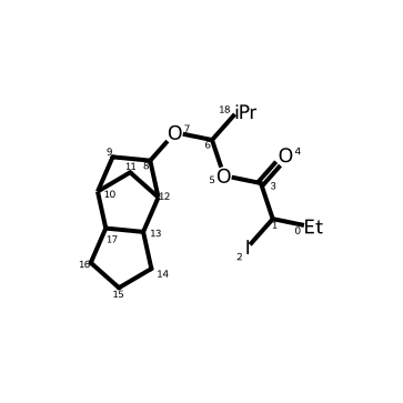 CCC(I)C(=O)OC(OC1CC2CC1C1CCCC21)C(C)C